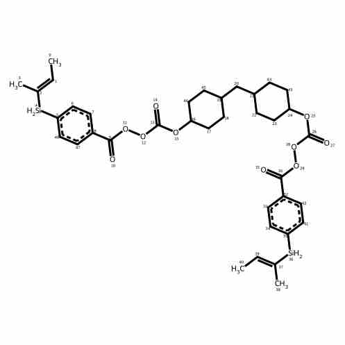 CC=C(C)[SiH2]c1ccc(C(=O)OOC(=O)OC2CCC(CC3CCC(OC(=O)OOC(=O)c4ccc([SiH2]C(C)=CC)cc4)CC3)CC2)cc1